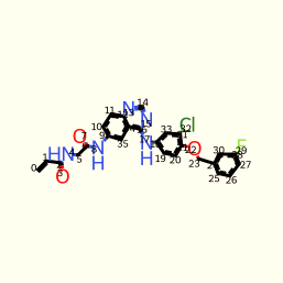 C=CC(=O)NCC(=O)Nc1ccc2ncnc(Nc3ccc(OCc4cccc(F)c4)c(Cl)c3)c2c1